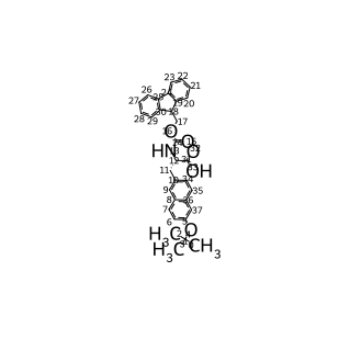 CC(C)(C)Oc1ccc2cc(C[C@H](NC(=O)OCC3c4ccccc4-c4ccccc43)C(=O)O)ccc2c1